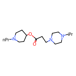 CCCN1CCC(OC(=O)CCN2CCN(C(C)C)CC2)CC1